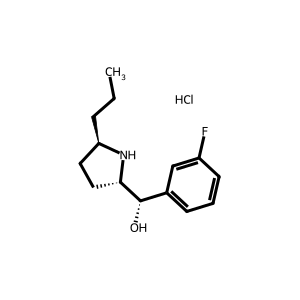 CCC[C@@H]1CC[C@@H]([C@@H](O)c2cccc(F)c2)N1.Cl